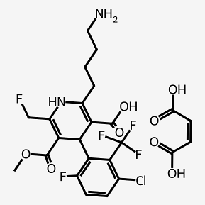 COC(=O)C1=C(CF)NC(CCCCN)=C(C(=O)O)C1c1c(F)ccc(Cl)c1C(F)(F)F.O=C(O)/C=C\C(=O)O